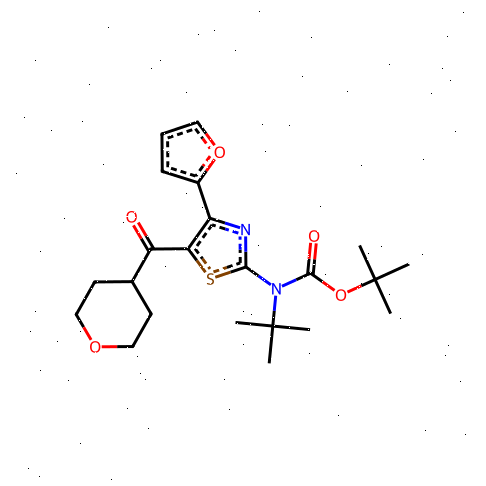 CC(C)(C)OC(=O)N(c1nc(-c2ccco2)c(C(=O)C2CCOCC2)s1)C(C)(C)C